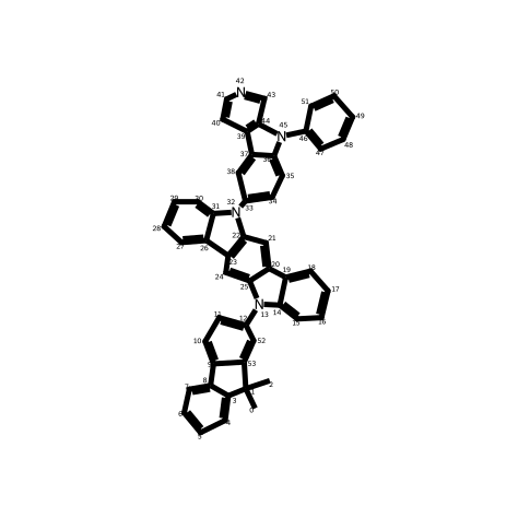 CC1(C)c2ccccc2-c2ccc(-n3c4ccccc4c4cc5c(cc43)c3ccccc3n5-c3ccc4c(c3)c3ccncc3n4-c3ccccc3)cc21